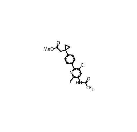 COC(=O)CC1(c2ccc(-c3nc(I)c(NC(=O)C(F)(F)F)cc3Cl)cc2)CC1